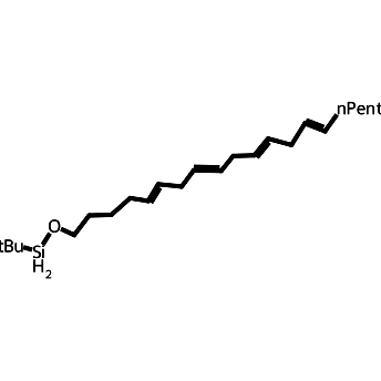 CCCCCC=CCC=CCC=CCC=CCCCCO[SiH2]C(C)(C)C